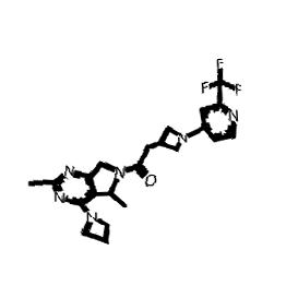 Cc1nc2c(c(N3CCC3)n1)C(C)N(C(=O)CC1CN(c3ccnc(C(F)(F)F)c3)C1)C2